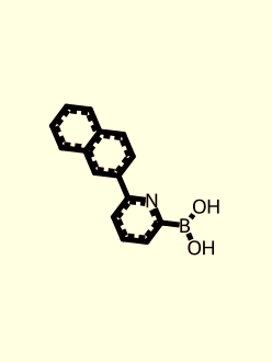 OB(O)c1cccc(-c2ccc3ccccc3c2)n1